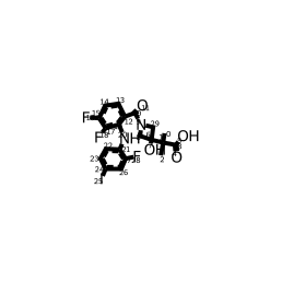 CC(C)(C(=O)O)C1(O)CN(C(=O)c2ccc(F)c(F)c2Nc2ccc(I)cc2F)C1